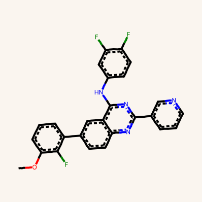 COc1cccc(-c2ccc3nc(-c4cccnc4)nc(Nc4ccc(F)c(F)c4)c3c2)c1F